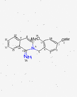 COc1ccc(Cn2ccc3ccccc3c2=N)c(OC)c1